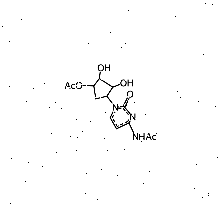 CC(=O)Nc1ccn(C2CC(OC(C)=O)C(O)C2O)c(=O)n1